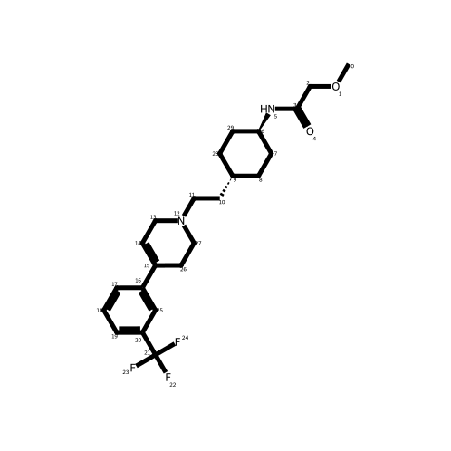 COCC(=O)N[C@H]1CC[C@H](CCN2CC=C(c3cccc(C(F)(F)F)c3)CC2)CC1